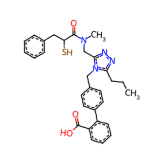 CCCc1nnc(CN(C)C(=O)C(S)Cc2ccccc2)n1Cc1ccc(-c2ccccc2C(=O)O)cc1